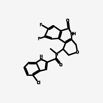 CN(C(=O)c1cc2c(Cl)cccc2[nH]1)C1COCc2[nH]c(=O)c3cc(F)c(F)cc3c21